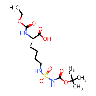 CCOC(=O)N[C@@H](CCCCNS(=O)(=O)NC(=O)OC(C)(C)C)C(=O)O